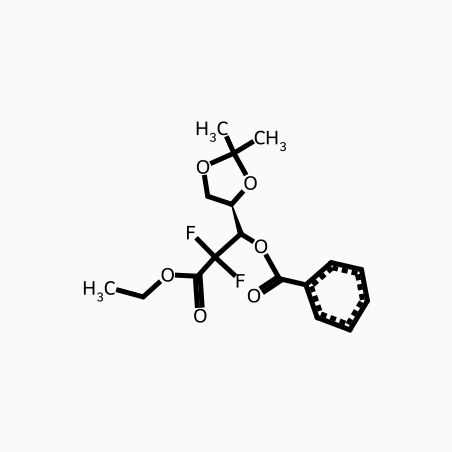 CCOC(=O)C(F)(F)C(OC(=O)c1ccccc1)[C@H]1COC(C)(C)O1